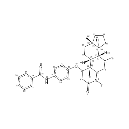 CC1CC2N(C)C(=O)CC(Oc3ccc(NC(=O)c4ccccc4)cc3)[C@]2(C)[C@@H]2CC[C@]3(C)CCC[C@H]3[C@H]12